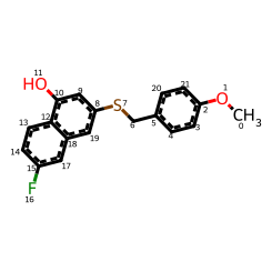 COc1ccc(CSc2cc(O)c3ccc(F)cc3c2)cc1